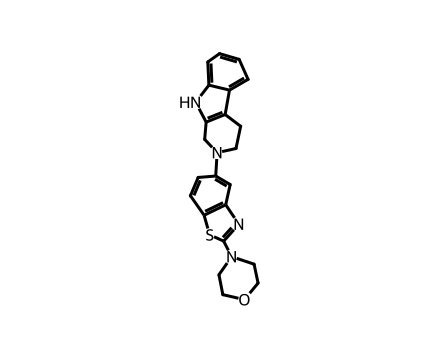 c1ccc2c3c([nH]c2c1)CN(c1ccc2sc(N4CCOCC4)nc2c1)CC3